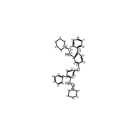 B(ON1CCCCC1)c1cc(Oc2ccc(-c3ccccc3)c(BON3CCCCC3)c2)ccc1-c1ccccc1